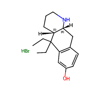 Br.CCC1(CC)c2cc(O)ccc2C[C@H]2NCCC[C@H]21